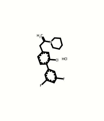 C=C(Cc1ccc(-c2cc(F)cc(F)c2)c(Cl)c1)N1CCCCC1.Cl